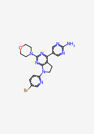 Nc1ncc(-c2nc(N3CCOCC3)nc3c2CCN3c2ccc(Br)cn2)cn1